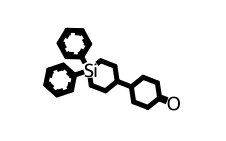 O=C1CCC(C2CC[Si](c3ccccc3)(c3ccccc3)CC2)CC1